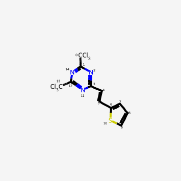 ClC(Cl)(Cl)c1nc(C=Cc2cccs2)nc(C(Cl)(Cl)Cl)n1